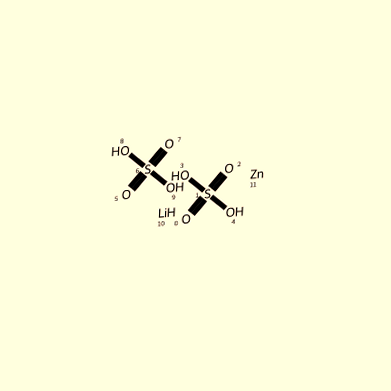 O=S(=O)(O)O.O=S(=O)(O)O.[LiH].[Zn]